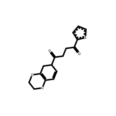 O=C(CCC(=O)C1C=CC2=C(C1)OCCO2)c1cccs1